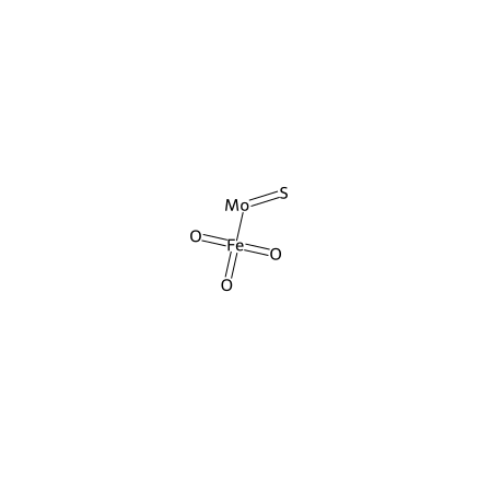 [O]=[Fe](=[O])(=[O])[Mo]=[S]